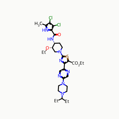 CCOC(=O)c1sc(N2CC[C@@H](NC(=O)c3[nH]c(C)c(Cl)c3Cl)[C@@H](OCC)C2)nc1-c1cnc(N2CCN(C(CC)CC)CC2)cn1